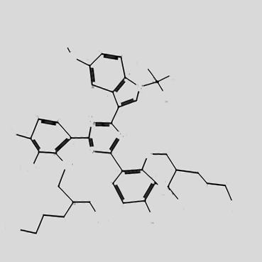 CCCCC(CC)COc1c(-c2nc(-c3ccc(O)c(C)c3OCC(CC)CCCC)nc(-c3cn(C(C)(C)C)c4ccc(OC)cc34)n2)ccc(O)c1C